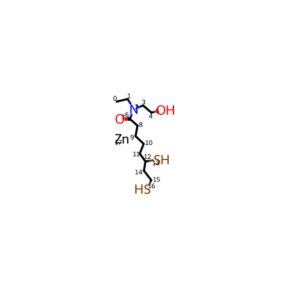 CCN(CCO)C(=O)CCCCC(S)CCS.[Zn]